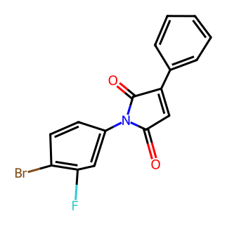 O=C1C=C(c2ccccc2)C(=O)N1c1ccc(Br)c(F)c1